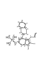 C=CCn1c(C)c(C)c2ccnc(N3CCc4ccccc4C3)c21.O=P(O)(O)O